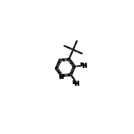 [2H]c1nccc(C(C)(C)C)c1[2H]